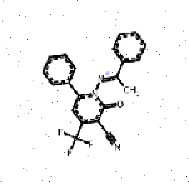 C/C(=N\n1c(-c2ccccc2)cc(C(F)(F)F)c(C#N)c1=O)c1ccccc1